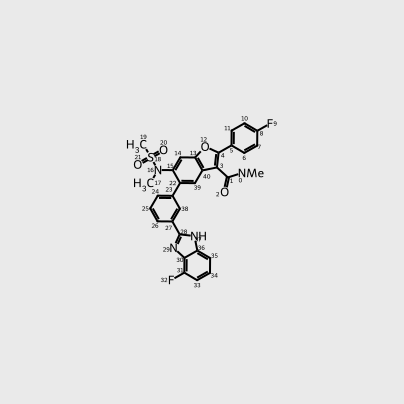 CNC(=O)c1c(-c2ccc(F)cc2)oc2cc(N(C)S(C)(=O)=O)c(-c3cccc(-c4nc5c(F)cccc5[nH]4)c3)cc12